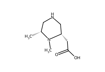 C[C@@H]1CNC[C@H](CC(=O)O)N1C